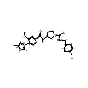 COc1cc(C(=O)NC2CCN(C(=O)NCc3ccc(F)cc3)C2)ccc1-n1cnc(C)c1